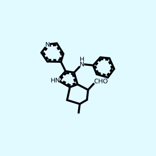 CC1Cc2[nH]c(-c3ccncc3)c(Nc3ccccc3)c2C(C=O)C1